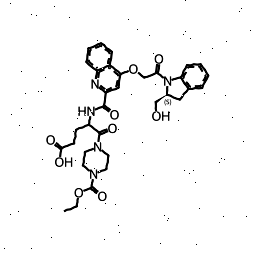 CCOC(=O)N1CCN(C(=O)C(CCC(=O)O)NC(=O)c2cc(OCC(=O)N3c4ccccc4C[C@H]3CO)c3ccccc3n2)CC1